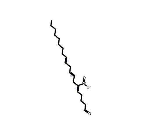 CCCCCCCC/C=C/C/C=C/C/C(=C/CCC[C]=O)[N+](=O)[O-]